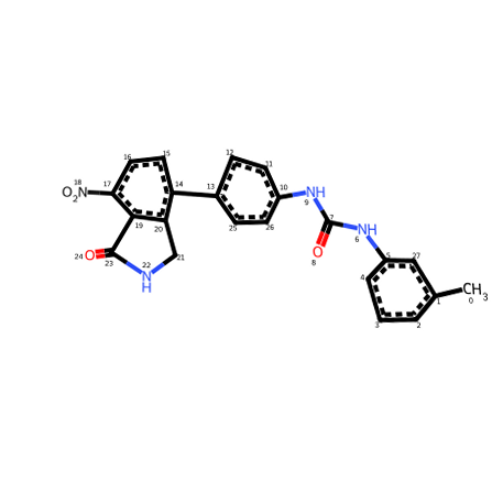 Cc1cccc(NC(=O)Nc2ccc(-c3ccc([N+](=O)[O-])c4c3CNC4=O)cc2)c1